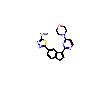 CSc1nnc(-c2ccc3c(c2)C(c2nccc(N4CCOCC4)n2)=CC3)s1